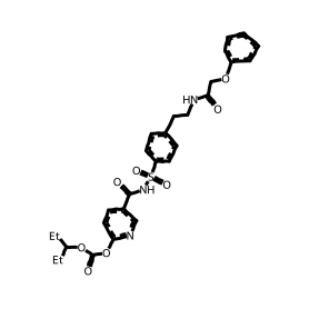 CCC(CC)OC(=O)Oc1ccc(C(=O)NS(=O)(=O)c2ccc(CCNC(=O)COc3ccccc3)cc2)cn1